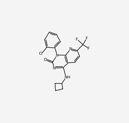 O=c1nc(NC2CCC2)c2ccc(C(F)(F)F)nc2n1-c1ccccc1Cl